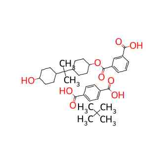 CC(C)(C)C.CC(C)(C1CCC(O)CC1)C1CCC(OC(=O)c2cccc(C(=O)O)c2)CC1.O=C(O)c1ccc(C(=O)O)cc1